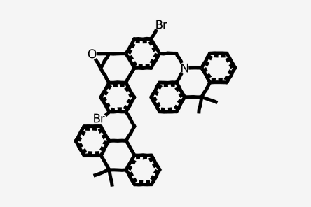 CC1(C)c2ccccc2C(Cc2cc3c(cc2Br)C2OC2c2cc(Br)c(CN4c5ccccc5C(C)(C)c5ccccc54)cc2-3)c2ccccc21